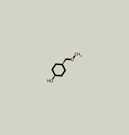 COC[C@H]1CC[C@@H](O)CC1